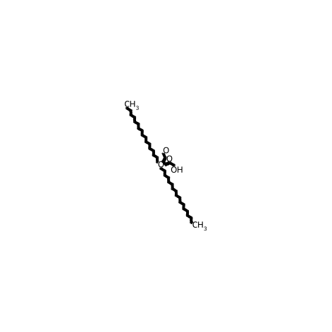 CCCCCCCCCCCCCCCCCCOCCCCCCCCCCCCCCCCCC.O=Cc1ccc(CO)o1